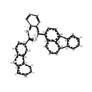 C=C(/N=C1/C=CC=C/C1=C(/N)c1ccc2c3c(cccc13)-c1ccccc1-2)c1ccc2sc3ccccc3c2c1